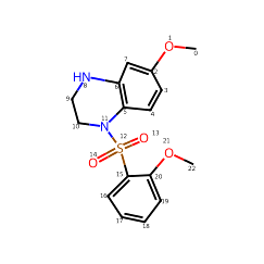 COc1ccc2c(c1)NCCN2S(=O)(=O)c1ccccc1OC